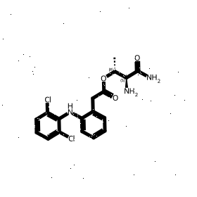 C[C@@H](OC(=O)Cc1ccccc1Nc1c(Cl)cccc1Cl)[C@H](N)C(N)=O